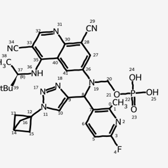 Cc1nc(F)ccc1C(c1cn(C23CC(C2)C3)nn1)N(COP(=O)(O)O)c1cc(C#N)c2ncc(C#N)c(N[C@H](C)C(C)(C)C)c2c1